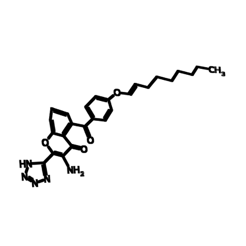 CCCCCCCC=COc1ccc(C(=O)c2cccc3oc(-c4nnn[nH]4)c(N)c(=O)c23)cc1